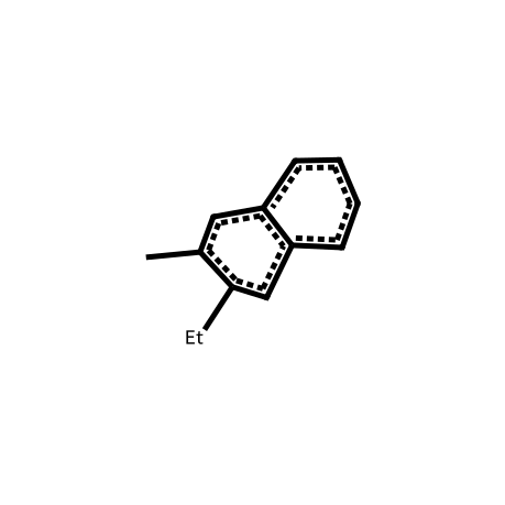 CCc1cc2ccccc2cc1C